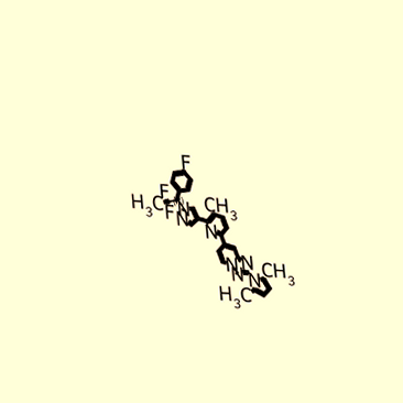 Cc1ccc(-c2ccn3nc(-n4c(C)ccc4C)nc3c2)nc1-c1cnn([C@H](c2ccc(F)cc2)C(C)(F)F)c1